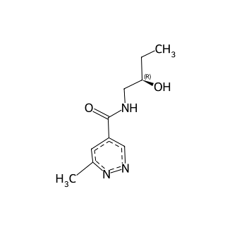 CC[C@@H](O)CNC(=O)c1cnnc(C)c1